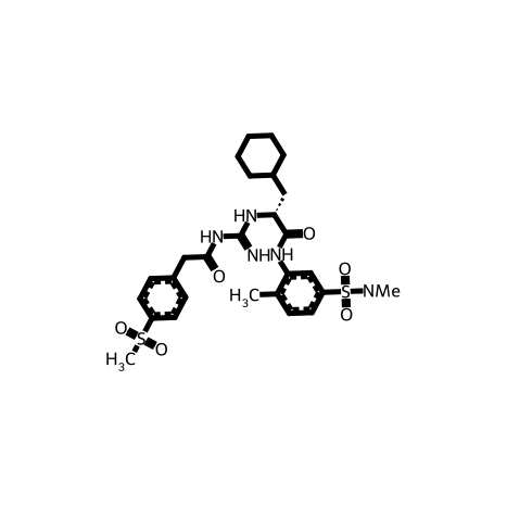 CNS(=O)(=O)c1ccc(C)c(NC(=O)[C@@H](CC2CCCCC2)NC(=N)NC(=O)Cc2ccc(S(C)(=O)=O)cc2)c1